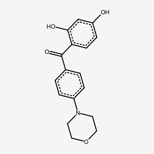 O=C(c1ccc(N2CCOCC2)cc1)c1ccc(O)cc1O